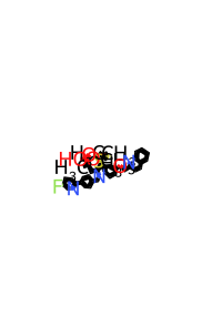 CC(C)(Cc1c([S+]([O-])C(C)(C)C)c2cc(OCc3ccc4ccccc4n3)ccc2n1Cc1ccc(-c2ccc(F)cn2)cc1)C(=O)O